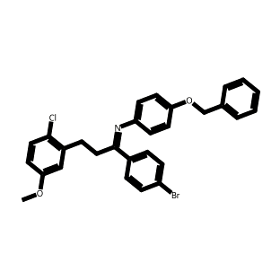 COc1ccc(Cl)c(CCC(=Nc2ccc(OCc3ccccc3)cc2)c2ccc(Br)cc2)c1